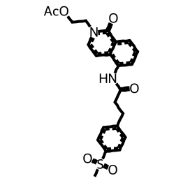 CC(=O)OCCn1ccc2c(NC(=O)CCc3ccc(S(C)(=O)=O)cc3)cccc2c1=O